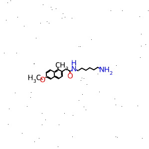 COc1ccc2c(C)c(CC(=O)NCCCCCCN)ccc2c1